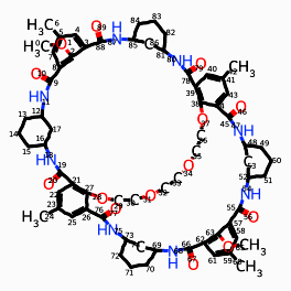 COc1c2cc(C)cc1C(=O)NC1CCCC(C1)NC(=O)c1cc(C)cc3c1OCCOCCOCCOc1c(cc(C)cc1C(=O)NC1CCCC(C1)NC(=O)c1cc(C)cc(c1OC)C(=O)NC1CCCC(C1)NC3=O)C(=O)NC1CCCC(C1)NC2=O